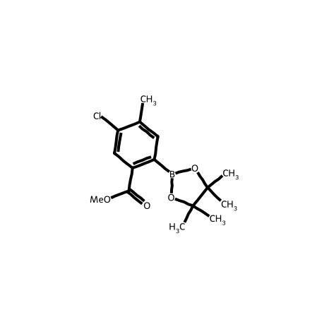 COC(=O)c1cc(Cl)c(C)cc1B1OC(C)(C)C(C)(C)O1